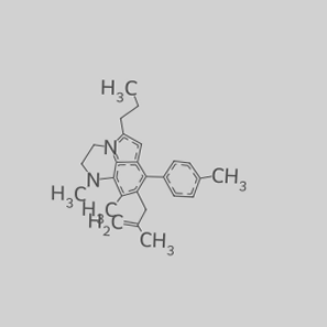 C=C(C)Cc1c(C)c2c3c(cc(CCC)n3CCN2C)c1-c1ccc(C)cc1